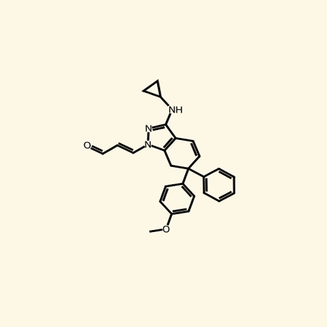 COc1ccc(C2(c3ccccc3)C=Cc3c(NC4CC4)nn(C=CC=O)c3C2)cc1